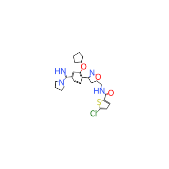 N=C(c1ccc(C2=NOC(CNC(=O)c3ccc(Cl)s3)C2)c(OC2CCCC2)c1)N1CCCC1